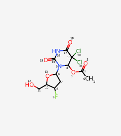 CC(=O)OC1N(C2CC(F)C(CO)O2)C(=O)NC(=O)C1(Cl)Cl